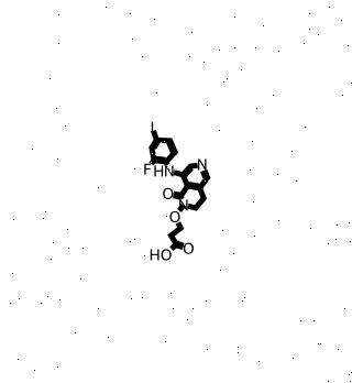 O=C(O)CCON1CCc2cncc(Nc3ccc(I)cc3F)c2C1=O